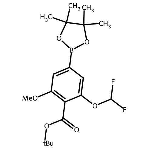 COc1cc(B2OC(C)(C)C(C)(C)O2)cc(OC(F)F)c1C(=O)OC(C)(C)C